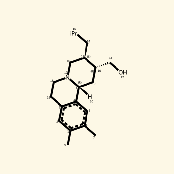 Cc1cc2c(cc1C)[C@H]1C[C@@H](CO)[C@H](CC(C)C)CN1CC2